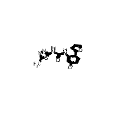 O=C(Nc1nnc(C(F)(F)F)s1)Nc1cc(Cl)ccc1-c1ccco1